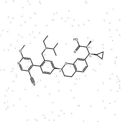 CCN(Cc1cc([C@@H]2CCc3ccc([C@H](C4CC4)[C@H](C)C(=O)O)cc3O2)ccc1-c1cc(OC)ncc1C#N)C(C)C